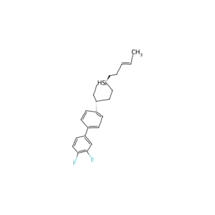 CC=CCC[Si@H]1CC[C@H](c2ccc(-c3ccc(F)c(F)c3)cc2)CC1